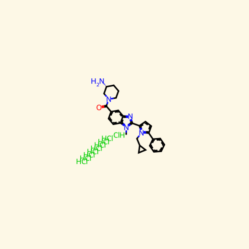 Cl.Cl.Cl.Cl.Cl.Cl.Cl.Cl.Cl.Cn1c(-c2ccc(-c3ccccc3)n2CC2CC2)nc2cc(C(=O)N3CCC[C@@H](N)C3)ccc21